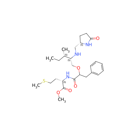 CC[C@H](C)[C@@H](COC(Cc1ccccc1)C(=O)N[C@@H](CCSC)C(=O)OC)NC[C@@H]1CCC(=O)N1